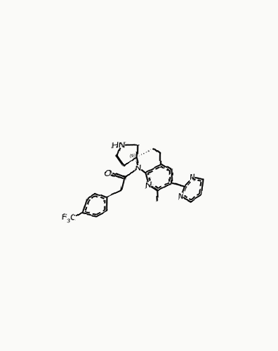 Cc1nc2c(cc1-c1ncccn1)CC[C@@]1(CCNC1)N2C(=O)Cc1ccc(C(F)(F)F)cc1